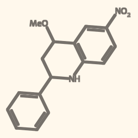 COC1CC(c2ccccc2)Nc2ccc([N+](=O)[O-])cc21